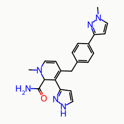 CN1C=CC(Cc2ccc(-c3ccn(C)n3)cc2)=C(c2cc[nH]n2)C1C(N)=O